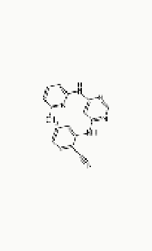 Cc1cccc(Nc2cc(Nc3ccccc3C#N)ncn2)n1